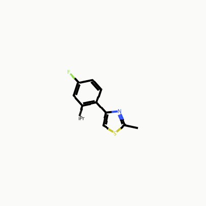 Cc1nc(-c2ccc(F)cc2C(C)C)cs1